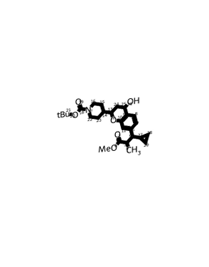 COC(=O)C(C)C(c1ccc2c(c1)OC(C1CCN(C(=O)OC(C)(C)C)CC1)CC2O)C1CC1